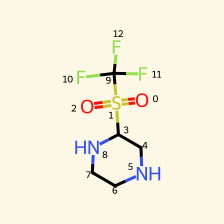 O=S(=O)(C1CNCCN1)C(F)(F)F